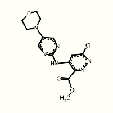 COC(=O)c1nnc(Cl)cc1Nc1ncc(N2CCOCC2)cn1